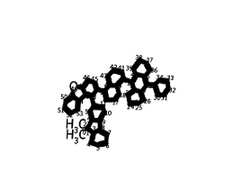 CC1(C)c2ccccc2-c2ccc(-c3c(-c4cccc5c(-c6c7ccccc7c(-c7ccccc7)c7ccccc67)cccc45)ccc4oc5ccccc5c34)cc21